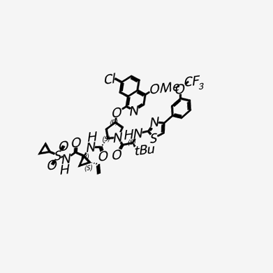 C=C[C@@H]1C[C@]1(NC(=O)[C@@H]1C[C@@H](Oc2ncc(OC)c3ccc(Cl)cc23)CN1C(=O)[C@@H](Nc1nc(-c2cccc(OC(F)(F)F)c2)cs1)C(C)(C)C)C(=O)NS(=O)(=O)C1CC1